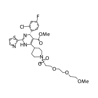 COCCOCCOCCS(=O)(=O)N1CCC(C2=C(C(=O)OC)[C@@H](c3ccc(F)cc3Cl)N=C(c3nccs3)N2)CC1